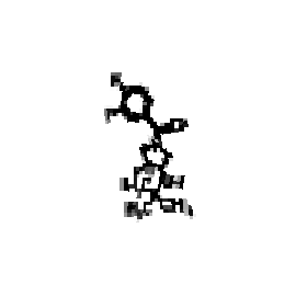 CC(C)(C)NC1CN(C(=O)c2ccc(F)c(F)c2)C[C@@H]1F